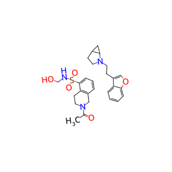 CC(=O)N1CCc2c(cccc2S(=O)(=O)NCO)C1.c1ccc2c(CCN3CCC4CC43)coc2c1